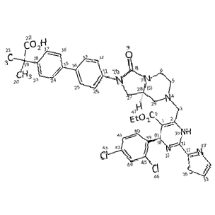 CCOC(=O)C1=C(CN2CCN3C(=O)N(c4ccc(-c5ccc(C(C)(C)C(=O)O)cc5)cc4)C[C@@H]3C2)NC(c2nccs2)=N[C@H]1c1ccc(Cl)cc1Cl